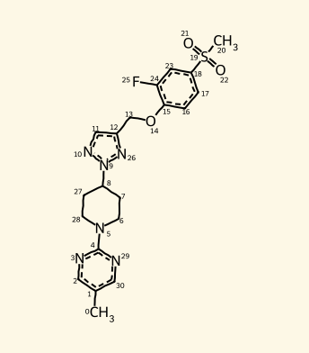 Cc1cnc(N2CCC(n3ncc(COc4ccc(S(C)(=O)=O)cc4F)n3)CC2)nc1